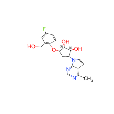 Cc1ncnc2c1ccn2C1CC(Oc2ccc(F)cc2CO)[C@@H](O)[C@H]1O